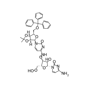 CC1(C)O[C@@H]2[C@H](O1)[C@@H](COC(c1ccccc1)(c1ccccc1)c1ccccc1)O[C@H]2n1ccc(NO[C@H]2[C@@H](O)[C@H](n3ccc(N)nc3=O)O[C@@H]2COO)nc1=O